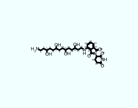 NCCC(O)CCC(O)CCC(O)CCC(O)CCNc1cccc2c1C(=O)N(C1CCC(=O)NC1=O)C2=O